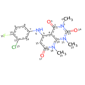 Cn1c(=O)c2c(Nc3ccc(F)c(Cl)c3)cc(=O)n(C)c2n(C)c1=O